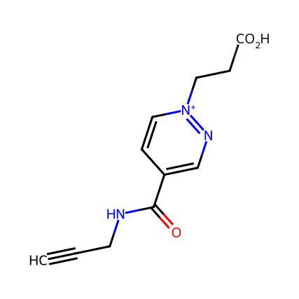 C#CCNC(=O)c1cc[n+](CCC(=O)O)nc1